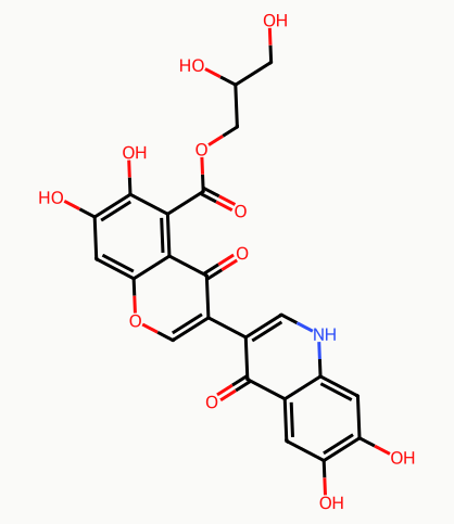 O=C(OCC(O)CO)c1c(O)c(O)cc2occ(-c3c[nH]c4cc(O)c(O)cc4c3=O)c(=O)c12